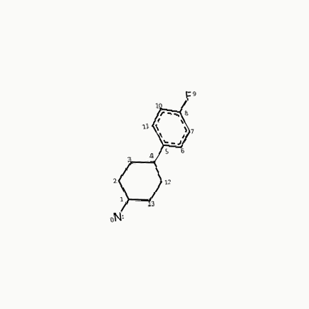 [N]C1CCC(c2ccc(F)cc2)CC1